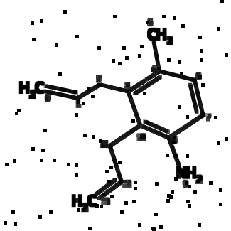 C=CCc1c(C)ccc(N)c1CC=C